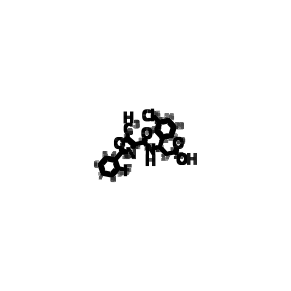 Cc1oc(-c2ccccc2F)nc1C(=O)NC(CC(=O)O)c1cccc(Cl)c1